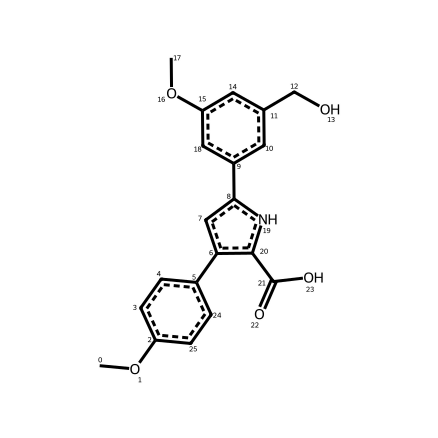 COc1ccc(-c2cc(-c3cc(CO)cc(OC)c3)[nH]c2C(=O)O)cc1